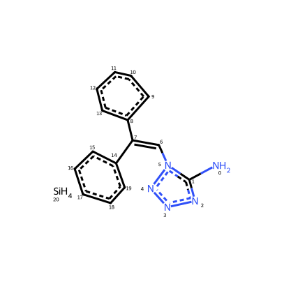 Nc1nnnn1C=C(c1ccccc1)c1ccccc1.[SiH4]